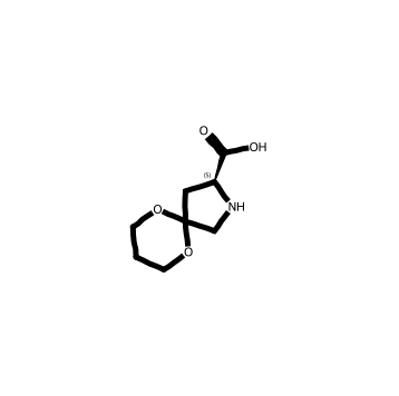 O=C(O)[C@@H]1CC2(CN1)OCCCO2